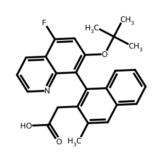 Cc1cc2ccccc2c(-c2c(OC(C)(C)C)cc(F)c3cccnc23)c1CC(=O)O